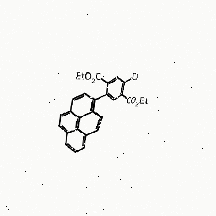 CCOC(=O)c1cc(-c2ccc3ccc4cccc5ccc2c3c45)c(C(=O)OCC)cc1Cl